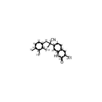 CCc1cc2ccc(C(C)(C#N)Cc3ccc(C)c(F)c3F)cc2[nH]c1=O